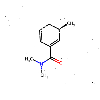 C[C@H]1C=C(C(=O)N(C)C)C=CC1